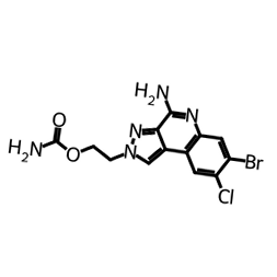 NC(=O)OCCn1cc2c(n1)c(N)nc1cc(Br)c(Cl)cc12